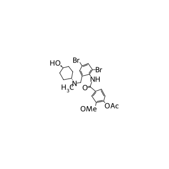 COc1cc(C(=O)Nc2c(Br)cc(Br)cc2CN(C)[C@H]2CC[C@H](O)CC2)ccc1OC(C)=O